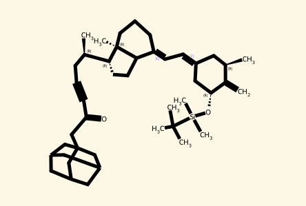 C=C1[C@H](C)C/C(=C/C=C2\CCC[C@@]3(C)C2CC[C@@H]3[C@H](C)CC#CC(=O)CC23CC4CC(CC(C4)C2)C3)C[C@H]1O[Si](C)(C)C(C)(C)C